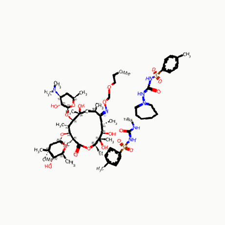 CCCCNC(=O)NS(=O)(=O)c1ccc(C)cc1.CC[C@H]1OC(=O)[C@H](C)[C@@H](O[C@H]2C[C@@](C)(OC)[C@@H](O)[C@H](C)O2)[C@H](C)[C@@H](O[C@@H]2O[C@H](C)C[C@H](N(C)C)[C@H]2O)[C@](C)(O)C[C@@H](C)/C(=N\OCOCCOC)[C@H](C)[C@@H](O)[C@]1(C)O.Cc1ccc(S(=O)(=O)NC(=O)NN2CCCCCC2)cc1